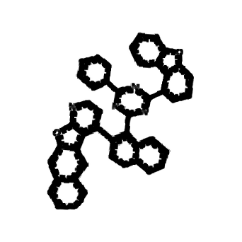 c1ccc(-c2nc(-c3c(-c4ccnc5oc6cc7ccccc7cc6c45)ccc4ccccc34)nc(-c3cccc4oc5ccccc5c34)n2)cc1